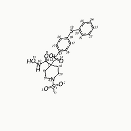 CS(=O)(=O)N1CCC(C(=O)NO)(S(=O)(=O)c2ccc(Sc3ccccc3)cc2)CC1